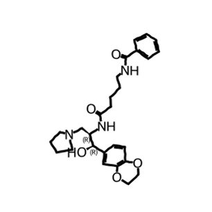 O=C(CCCCNC(=O)c1ccccc1)N[C@H](CN1CCCC1)[C@H](O)c1ccc2c(c1)OCCO2